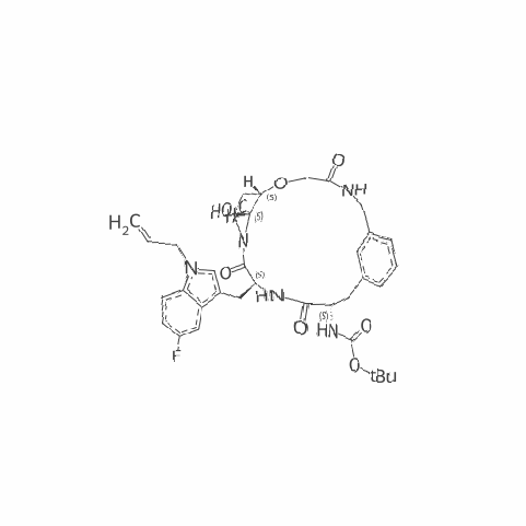 C=CCn1cc(C[C@@H]2NC(=O)[C@@H](NC(=O)OC(C)(C)C)Cc3cccc(c3)CNC(=O)CO[C@H]3CCN(C2=O)[C@@H]3C(=O)O)c2cc(F)ccc21